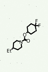 CCC1CCN(C(=O)OC2CCC(F)(F)CC2)CC1